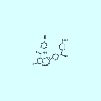 C#Cc1ccc(NC(=O)c2cc(Cl)cc(OC)c2NC(=O)c2ccc(C(=N)N3CCC(C(=O)O)CC3)cc2)cc1